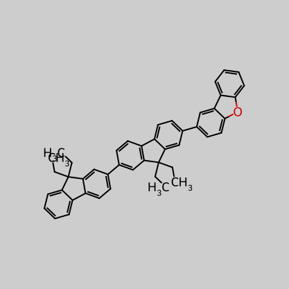 CCC1(CC)c2ccccc2-c2ccc(-c3ccc4c(c3)C(CC)(CC)c3cc(-c5ccc6oc7ccccc7c6c5)ccc3-4)cc21